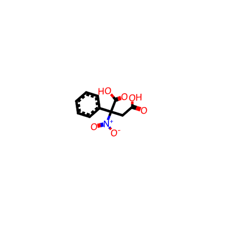 O=C(O)CC(C(=O)O)(c1ccccc1)[N+](=O)[O-]